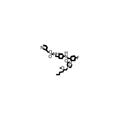 CCCCC(CN1CCN(c2cc(F)ccc2C(=O)Nc2ccc(CNC(=O)OCc3cccnc3)cc2)CC1)OC